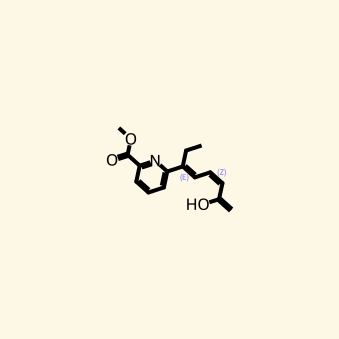 C=C(O)/C=C\C=C(/CC)c1cccc(C(=O)OC)n1